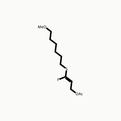 COCCCCCCSC(F)=CCOC(C)=O